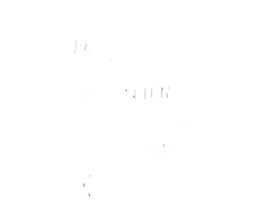 CC(=O)OC(C(=O)NCc1ccccc1)[C@H](Cc1cccnc1)NC(=O)OC(C)(C)C